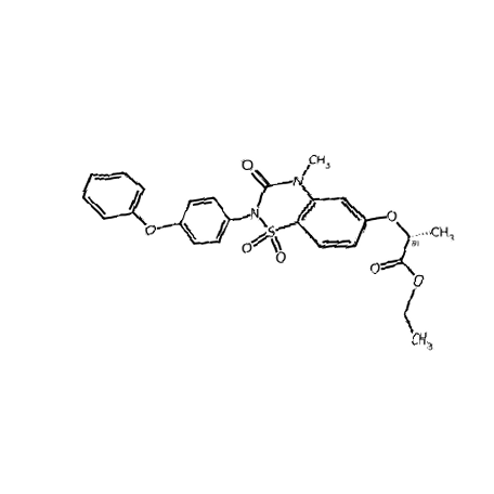 CCOC(=O)[C@@H](C)Oc1ccc2c(c1)N(C)C(=O)N(c1ccc(Oc3ccccc3)cc1)S2(=O)=O